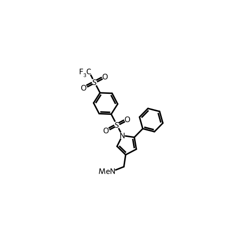 CNCc1cc(-c2ccccc2)n(S(=O)(=O)c2ccc(S(=O)(=O)C(F)(F)F)cc2)c1